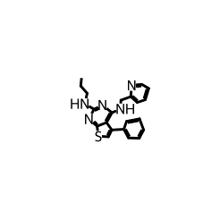 CCCNc1nc(NCc2ccccn2)c2c(-c3ccccc3)csc2n1